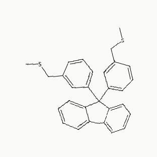 CSCc1cccc(C2(c3cccc(CSC)c3)c3ccccc3-c3ccccc32)c1